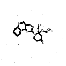 CCOC1(OC)CC(=O)CCN1c1ncc2cnc3ccccc3c2n1